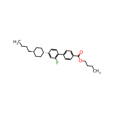 CCCCOC(=O)c1ccc(-c2ccc([C@H]3CC[C@H](CCCC)CC3)cc2F)cc1